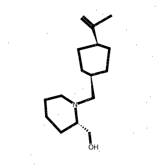 C=C(C)[C@H]1CC[C@@H](CN2CCCC[C@H]2CO)CC1